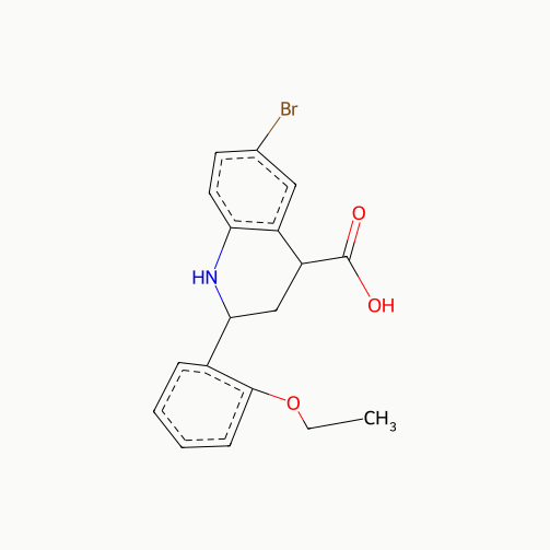 CCOc1ccccc1C1CC(C(=O)O)c2cc(Br)ccc2N1